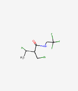 CC(Br)C(CBr)C(=O)NCC(F)(F)F